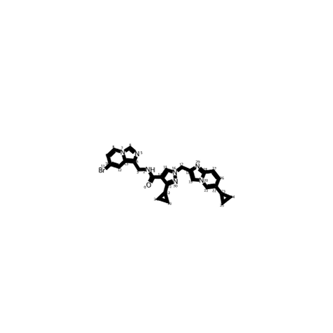 O=C(NCc1ncn2ccc(Br)cc12)c1cn(Cc2cn3cc(C4CC4)ccc3n2)nc1C1CC1